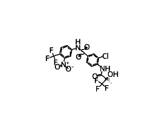 C[C@@](O)(C(=O)Nc1ccc(S(=O)(=O)Nc2ccc(C(F)(F)F)c([N+](=O)[O-])c2)cc1Cl)C(F)(F)F